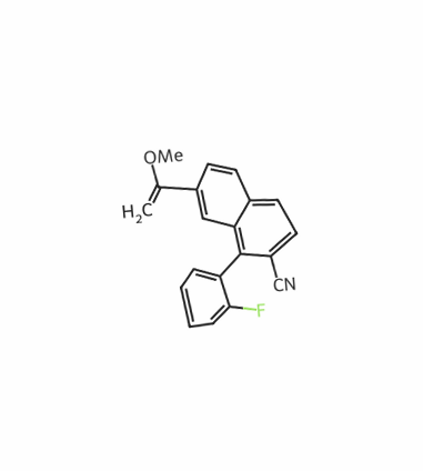 C=C(OC)c1ccc2ccc(C#N)c(-c3ccccc3F)c2c1